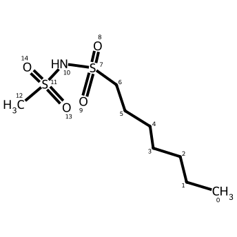 CCCCCCCS(=O)(=O)NS(C)(=O)=O